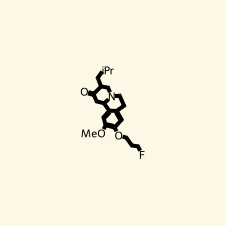 COc1cc2c(cc1OCCCF)CCN1CC(CC(C)C)C(=O)CC21